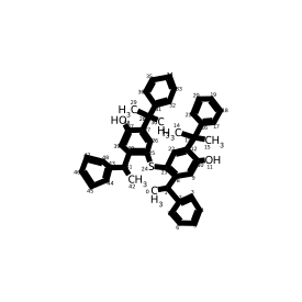 CC(c1ccccc1)c1cc(O)c(C(C)(C)c2ccccc2)cc1Sc1cc(C(C)(C)c2ccccc2)c(O)cc1C(C)c1ccccc1